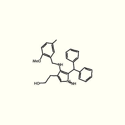 COc1ccc(C)cc1CNC1=C(C(c2ccccc2)c2ccccc2)[N+](=N)C=C1CCO